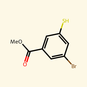 COC(=O)c1cc(S)cc(Br)c1